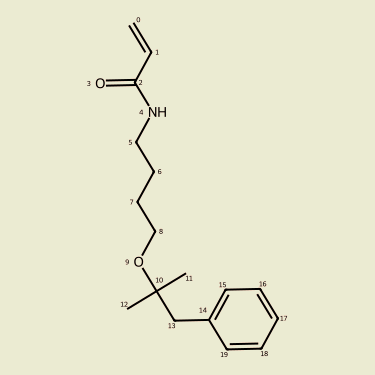 C=CC(=O)NCCCCOC(C)(C)Cc1ccccc1